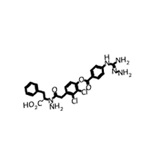 NN=C(N)Nc1ccc(C(=O)Oc2ccc(CC(=O)N(N)[C@@H](Cc3ccccc3)C(=O)O)c(Cl)c2Cl)cc1